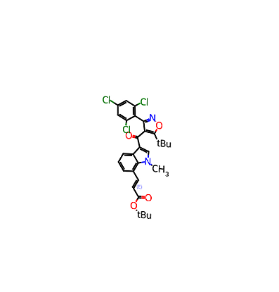 Cn1cc(C(=O)c2c(-c3c(Cl)cc(Cl)cc3Cl)noc2C(C)(C)C)c2cccc(/C=C/C(=O)OC(C)(C)C)c21